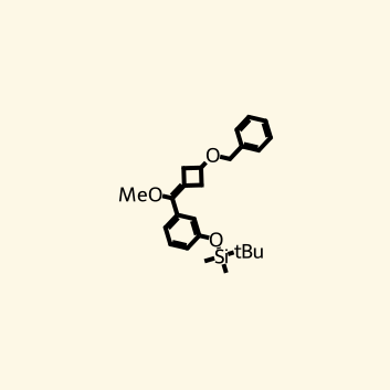 COC(=C1CC(OCc2ccccc2)C1)c1cccc(O[Si](C)(C)C(C)(C)C)c1